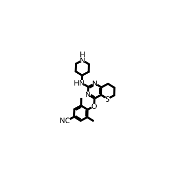 Cc1cc(C#N)cc(C)c1Oc1nc(NC2CCNCC2)nc2c1SCCC2